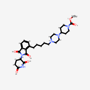 CC(C)(C)OC(=O)N1CCC(N2CCN(CCCCCc3cccc4c3C(=O)N(C3CCC(=O)NC3=O)C4=O)CC2)CC1